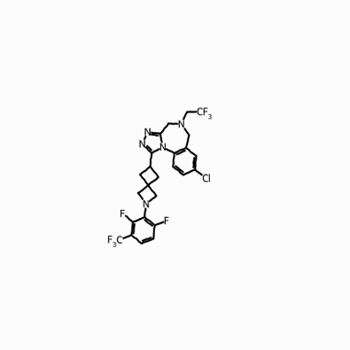 Fc1ccc(C(F)(F)F)c(F)c1N1CC2(CC(c3nnc4n3-c3ccc(Cl)cc3CN(CC(F)(F)F)C4)C2)C1